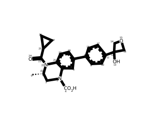 C[C@H]1CN(C(=O)O)c2cc(-c3ccc(C4(O)COC4)cc3)ccc2N1C(=O)C1CC1